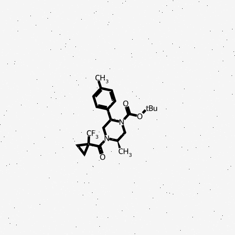 Cc1ccc(C2CN(C(=O)C3(C(F)(F)F)CC3)[C@H](C)CN2C(=O)OC(C)(C)C)cc1